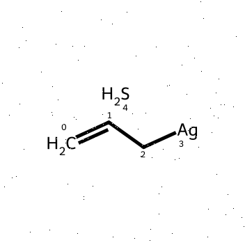 C=C[CH2][Ag].S